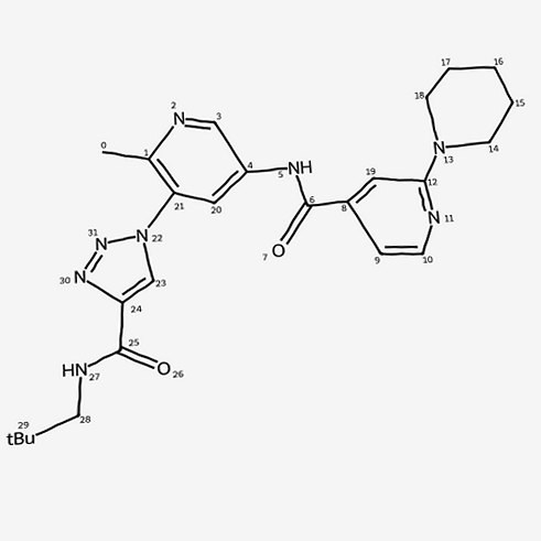 Cc1ncc(NC(=O)c2ccnc(N3CCCCC3)c2)cc1-n1cc(C(=O)NCC(C)(C)C)nn1